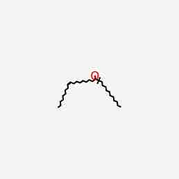 CCCCCCCC/C=C\CCCCCCCC(=O)C(C)(C)CCCCCCCCCCC